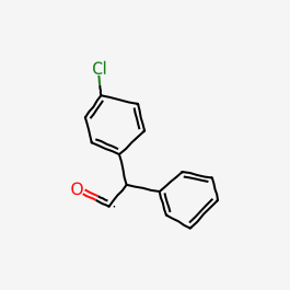 O=[C]C(c1ccccc1)c1ccc(Cl)cc1